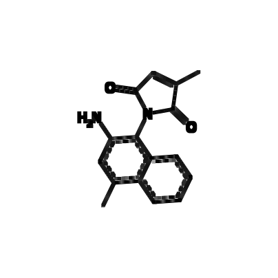 CC1=CC(=O)N(c2c(N)cc(C)c3ccccc23)C1=O